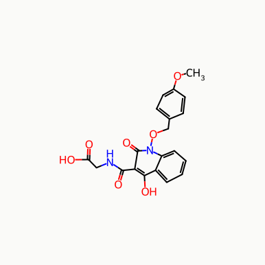 COc1ccc(COn2c(=O)c(C(=O)NCC(=O)O)c(O)c3ccccc32)cc1